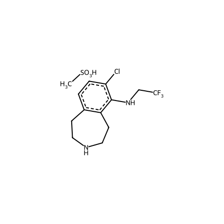 CS(=O)(=O)O.FC(F)(F)CNc1c(Cl)ccc2c1CCNCC2